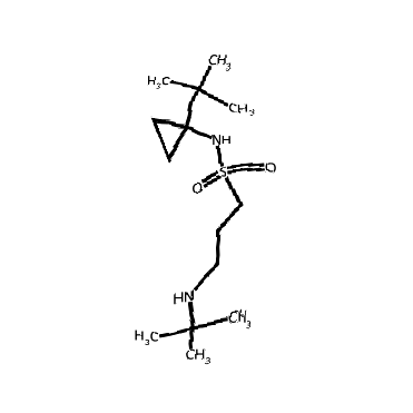 CC(C)(C)NCCCS(=O)(=O)NC1(C(C)(C)C)CC1